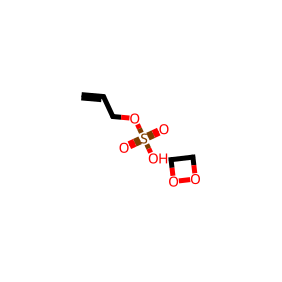 C1COO1.C=CCOS(=O)(=O)O